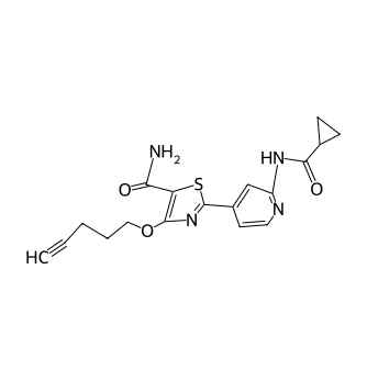 C#CCCCOc1nc(-c2ccnc(NC(=O)C3CC3)c2)sc1C(N)=O